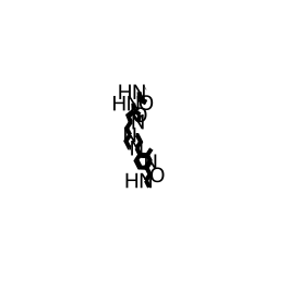 CNC(=O)Nc1cc(CN2CCN(c3ccc(C(=O)NC)nc3C)CC2)no1